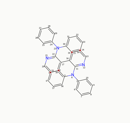 c1ccc(N(c2ccccc2)c2ncccc2-c2cccnc2N(c2ccccc2)c2ccccc2)cc1